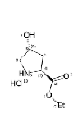 CCOC(=O)[C@@H]1C[C@@H](O)CN1.Cl